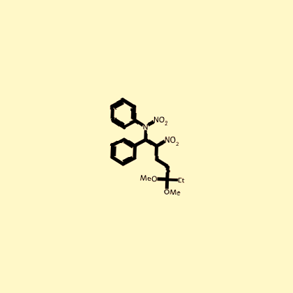 CCC(CCC(C(c1ccccc1)N(c1ccccc1)[N+](=O)[O-])[N+](=O)[O-])(OC)OC